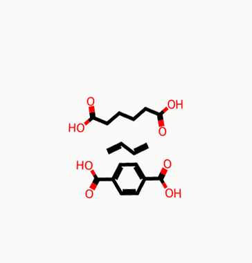 C=CC=C.O=C(O)CCCCC(=O)O.O=C(O)c1ccc(C(=O)O)cc1